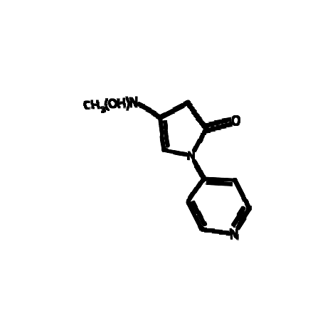 CN(O)C1=CN(c2ccncc2)C(=O)C1